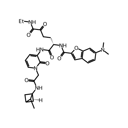 CCNC(=O)C(=O)CC[C@H](NC(=O)c1cc2ccc(N(C)C)cc2o1)C(=O)Nc1cccn(CC(=O)NC23CC(C2)[C@@H]3C)c1=O